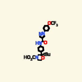 CC(C)(C)[C@]1(c2ccc(NC(=O)c3cnn(-c4ccc(OC(F)(F)F)cc4)c3)cc2)CN(C(=O)O)CCO1